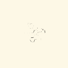 Cc1c(F)cccc1C1N=C(c2nccs2)N(C)C(C2CCNCC2)=C1C(=O)O